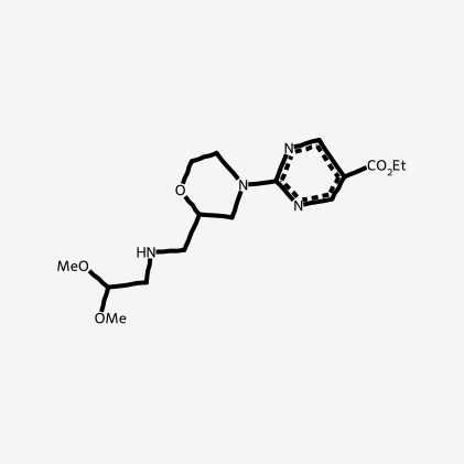 CCOC(=O)c1cnc(N2CCOC(CNCC(OC)OC)C2)nc1